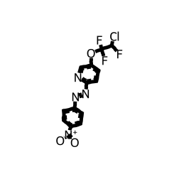 O=[N+]([O-])c1ccc(N=Nc2ccc(OC(F)(F)C(F)Cl)cn2)cc1